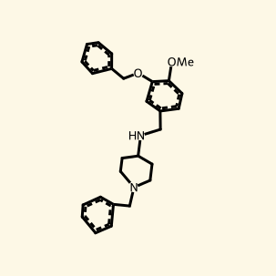 COc1ccc(CNC2CCN(Cc3ccccc3)CC2)cc1OCc1ccccc1